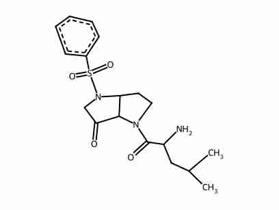 CC(C)CC(N)C(=O)N1CCC2C1C(=O)CN2S(=O)(=O)c1ccccc1